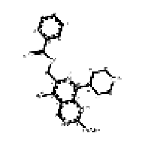 CSc1ncc2c(Br)c(COC(=O)c3ccccc3)nc(N3CCOCC3)c2n1